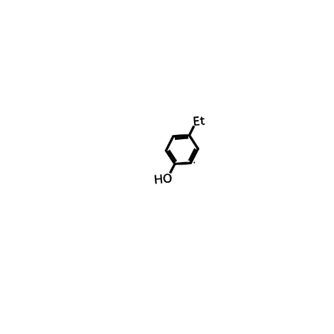 CCc1c[c]c(O)cc1